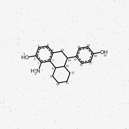 Nc1c(O)ccc2c1C1CCCCC1C(c1ccc(O)cc1)C2